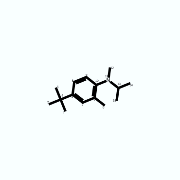 Cc1cc(C(C)(C)C)ccc1N(C)C(C)C